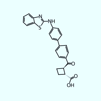 O=C(O)[C@@H]1CC[C@H]1C(=O)c1ccc(-c2ccc(Nc3nc4ccccc4s3)cc2)cc1